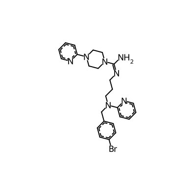 NC(=NCCCN(Cc1ccc(Br)cc1)c1ccccn1)N1CCN(c2ccccn2)CC1